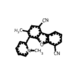 Cc1cc(C#N)c2c(oc3c(C#N)cccc32)c1-c1cccc[n+]1C